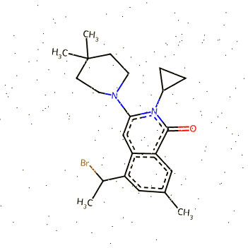 Cc1cc(C(C)Br)c2cc(N3CCC(C)(C)CC3)n(C3CC3)c(=O)c2c1